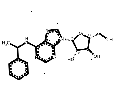 CC(Nc1ncnc2c1ncn2[C@@H]1O[C@H](CO)C(O)[C@@H]1O)c1ccccc1